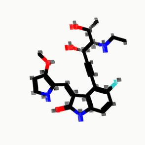 CCN[C@@H]([C@@H](C)O)[C@@H](O)C#Cc1c(F)ccc2c1C(=Cc1[nH]ccc1OC)C(=O)N2